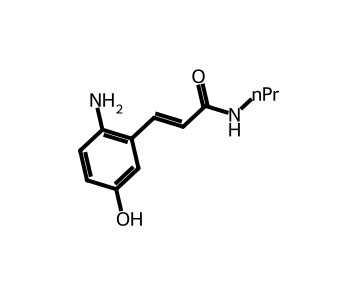 CCCNC(=O)C=Cc1cc(O)ccc1N